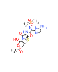 CC(=O)OCC1=C(C(=O)O)N2C(=O)[C@H](NC(=O)C(=NOP(C)(C)=O)c3nccc(N)n3)[C@H]2SC1